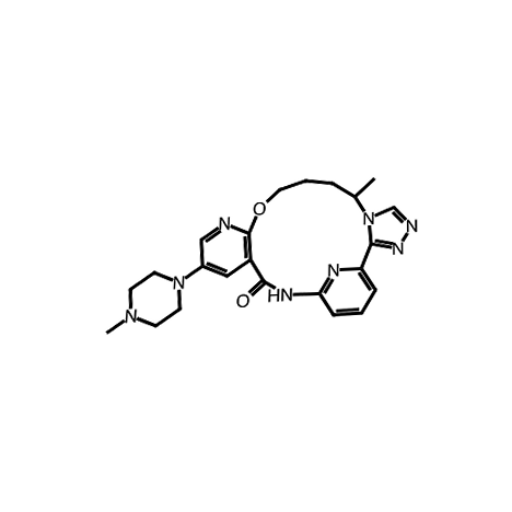 CC1CCCOc2ncc(N3CCN(C)CC3)cc2C(=O)Nc2cccc(n2)-c2nncn21